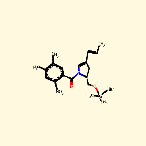 C/C=C/C1=CN(C(=O)c2cc(C)c(C)cc2[N+](=O)[O-])[C@H](CO[Si](C)(C)C(C)(C)C)C1